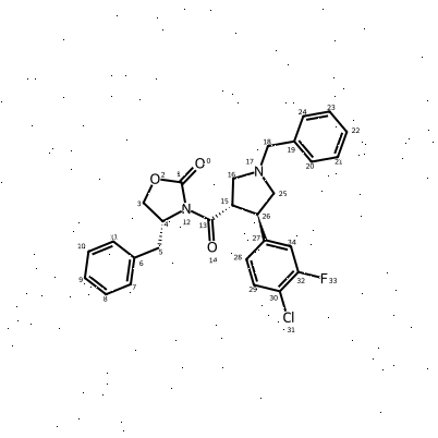 O=C1OC[C@@H](Cc2ccccc2)N1C(=O)[C@@H]1CN(Cc2ccccc2)C[C@H]1c1ccc(Cl)c(F)c1